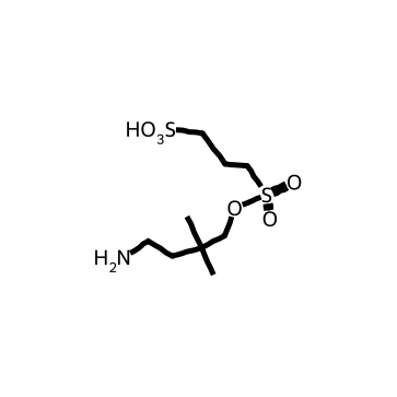 CC(C)(CCN)COS(=O)(=O)CCCS(=O)(=O)O